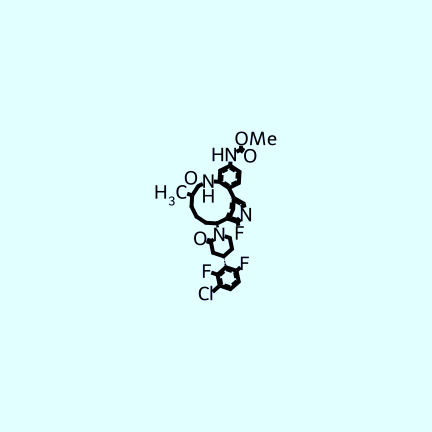 COC(=O)Nc1ccc2c(c1)NC(=O)C(C)CCC[C@H](N1CC[C@H](c3c(F)ccc(Cl)c3F)CC1=O)c1cc-2cnc1F